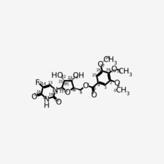 COc1cc(C(=O)OC[C@H]2O[C@@H](n3cc(F)c(=O)[nH]c3=O)[C@H](O)[C@@H]2O)cc(OC)c1OC